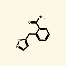 NC(=O)c1ccccc1[CH]c1ccno1